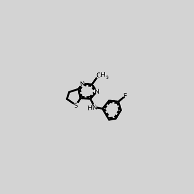 Cc1nc2c(c(Nc3cccc(F)c3)n1)SCC2